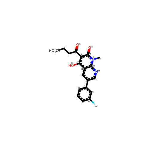 Cn1c(=O)c(C(=O)CCC(=O)O)c(O)c2cc(-c3cccc(F)c3)cnc21